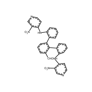 O=Cc1cccc(-c2ccccc2Nc2ccncc2[N+](=O)[O-])c1-c1ccccc1Nc1ccncc1[N+](=O)[O-]